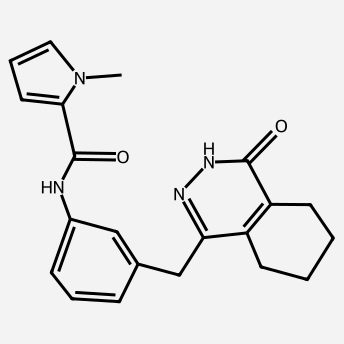 Cn1cccc1C(=O)Nc1cccc(Cc2n[nH]c(=O)c3c2CCCC3)c1